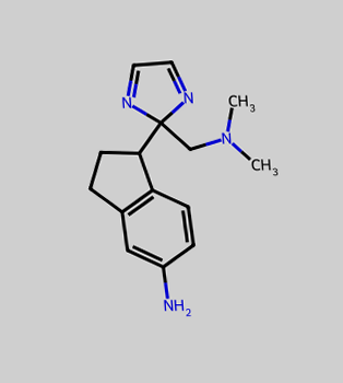 CN(C)CC1(C2CCc3cc(N)ccc32)N=CC=N1